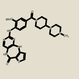 COc1cc(C(=O)N2CCC(N3CCN(C)CC3)CC2)ccc1Nc1ncc2c(n1)Nc1ccsc1C(=O)N2